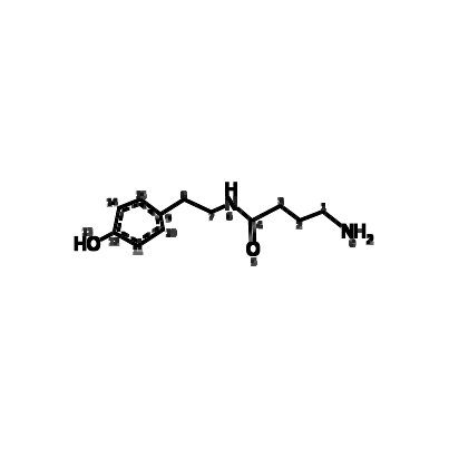 NCCCC(=O)NCCc1ccc(O)cc1